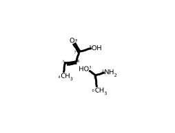 CC(N)O.CC=CC(=O)O